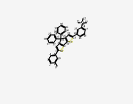 Cc1cccc(-c2cc3c(s2)-c2sc(-c4cccc([Si](C)(C)C)c4)cc2C3(c2ccccc2)c2ccccc2)c1